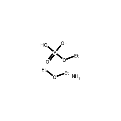 CCOCC.CCOP(=O)(O)O.N